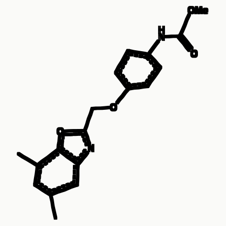 COC(=O)Nc1ccc(OCc2nc3cc(C)cc(C)c3o2)cc1